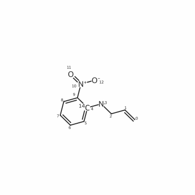 C=CC[N][14c]1ccccc1[N+](=O)[O-]